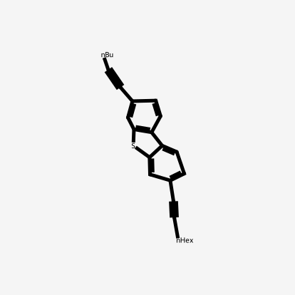 CCCCC#Cc1ccc2c(c1)sc1cc(C#CCCCCCC)ccc12